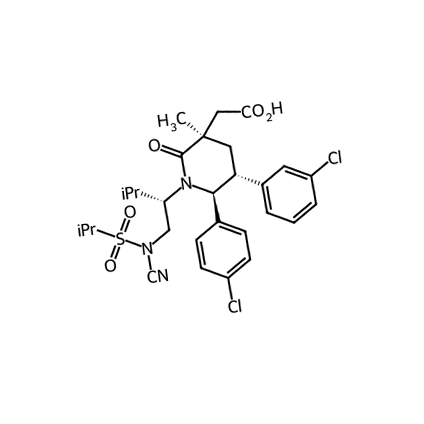 CC(C)[C@@H](CN(C#N)S(=O)(=O)C(C)C)N1C(=O)[C@@](C)(CC(=O)O)C[C@H](c2cccc(Cl)c2)[C@H]1c1ccc(Cl)cc1